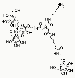 NCCCCCNC(=O)CN(CC(=O)NCCCCCC(=O)NCCO[C@H]1O[C@H](CO)[C@@H](O)[C@H](O)[C@@H]1O)CC(=O)NCCO[C@H]1O[C@H](CO[C@H]2O[C@H](CO)[C@@H](O)[C@H](O)[C@@H]2O)[C@@H](O)[C@H](O[C@H]2O[C@H](CO)[C@@H](O)[C@H](O)[C@@H]2O)[C@@H]1O